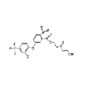 O=C(OCCC(=S)CCO)c1cc(Oc2ccc(C(F)(F)F)cc2Cl)ccc1[N+](=O)[O-]